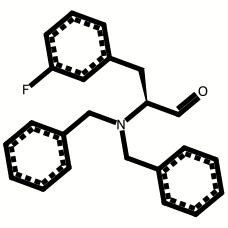 O=C[C@H](Cc1cccc(F)c1)N(Cc1ccccc1)Cc1ccccc1